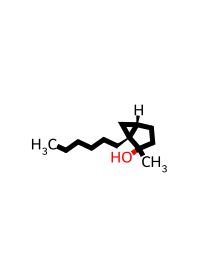 CCCCCC[C@@]12C[C@@H]1CCC2(C)O